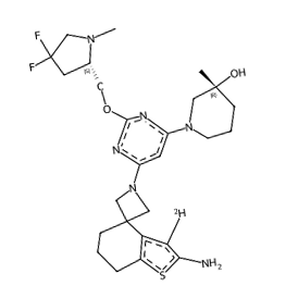 [2H]c1c(N)sc2c1C1(CCC2)CN(c2cc(N3CCC[C@@](C)(O)C3)nc(OC[C@@H]3CC(F)(F)CN3C)n2)C1